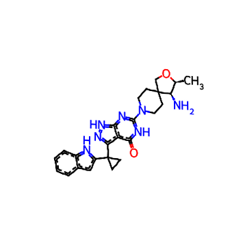 C[C@@H]1OCC2(CCN(c3nc4[nH]nc(C5(c6cc7ccccc7[nH]6)CC5)c4c(=O)[nH]3)CC2)[C@@H]1N